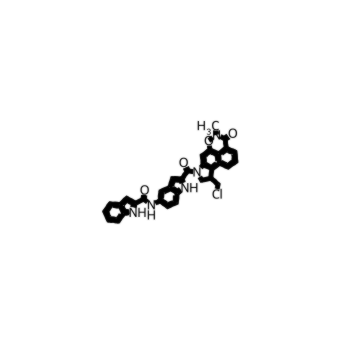 CN1Oc2cc3c(c4cccc(c24)C1=O)C(CCl)CN3C(=O)c1cc2cc(NC(=O)c3cc4ccccc4[nH]3)ccc2[nH]1